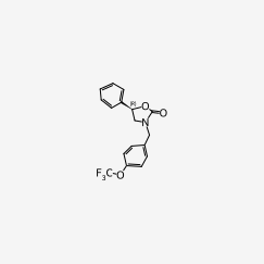 O=C1O[C@H](c2ccccc2)CN1Cc1ccc(OC(F)(F)F)cc1